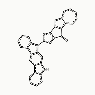 O=C1c2cc(-n3c4ccccc4c4cc5c(cc43)[nH]c3ccccc35)sc2-c2cc3cccccc-3c21